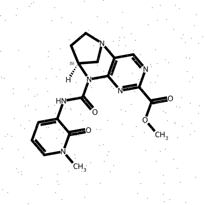 COC(=O)c1ncc2c(n1)N(C(=O)Nc1cccn(C)c1=O)[C@H]1CCN2C1